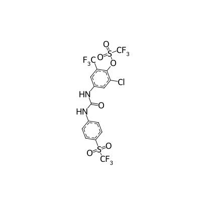 O=C(Nc1ccc(S(=O)(=O)C(F)(F)F)cc1)Nc1cc(Cl)c(OS(=O)(=O)C(F)(F)F)c(C(F)(F)F)c1